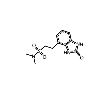 CN(C)S(=O)(=O)CCc1cccc2[nH]c(=O)[nH]c12